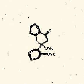 COc1ccccc1C1(OC)CC(=O)c2ccccc2O1